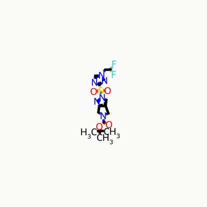 CC(C)(C)OC(=O)N1Cc2cn(S(=O)(=O)c3ncn(CC(F)F)n3)nc2C1